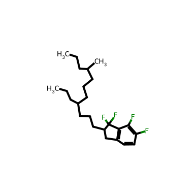 CCCC(C)CCCC(CCC)CCCC1Cc2ccc(F)c(F)c2C1(F)F